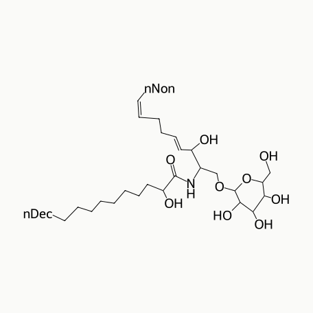 CCCCCCCCC/C=C\CC/C=C/C(O)C(COC1OC(CO)C(O)C(O)C1O)NC(=O)C(O)CCCCCCCCCCCCCCCCCC